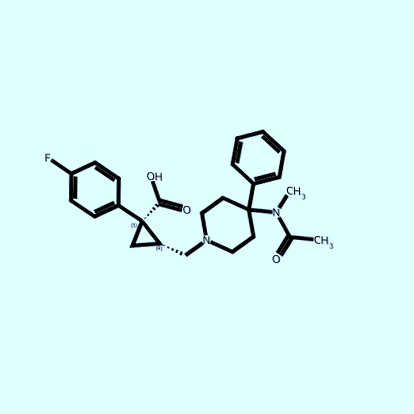 CC(=O)N(C)C1(c2ccccc2)CCN(C[C@@H]2C[C@@]2(C(=O)O)c2ccc(F)cc2)CC1